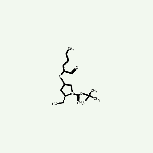 CCCCC(C=O)OC1C[C@H](CO)N(C(=O)OC(C)(C)C)C1